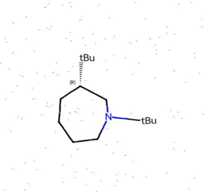 CC(C)(C)[C@H]1CCCCN(C(C)(C)C)C1